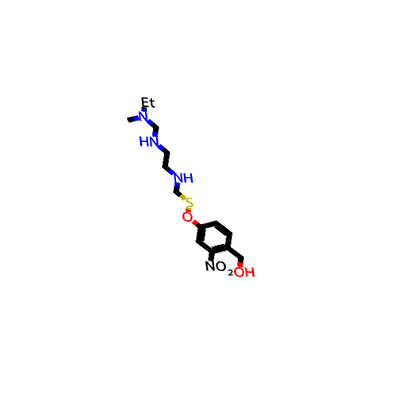 CCN(C)CNCCNCSOc1ccc(CO)c([N+](=O)[O-])c1